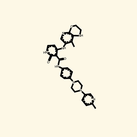 Cc1ccc(N2CCN(c3ccc(NC(=O)c4c(Nc5cnc6c(c5C)NCCO6)cc[nH]c4=O)cc3)CC2)cn1